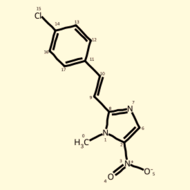 Cn1c([N+](=O)[O-])cnc1/C=C/c1ccc(Cl)cc1